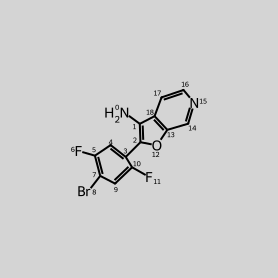 Nc1c(-c2cc(F)c(Br)cc2F)oc2cnccc12